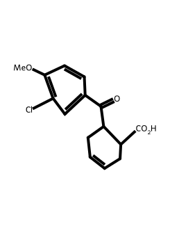 COc1ccc(C(=O)C2CC=CCC2C(=O)O)cc1Cl